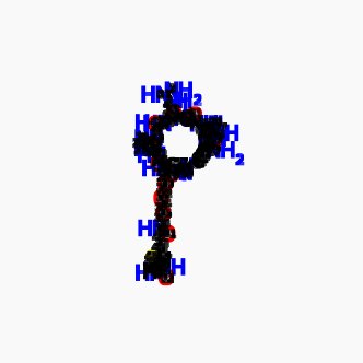 N=C(N)NCCC[C@@H]1NC(=O)CNC(=O)[C@H](Cc2c[nH]cn2)NC(=O)[C@@H](NC(=O)COCCOCCOCCNC(=O)CCCCC2SC[C@H]3NC(=O)N[C@@H]23)Cc2cn(nn2)CCCC[C@@H](C(N)=O)NC(=O)[C@H](Cc2c[nH]cn2)NC(=O)CNC1=O